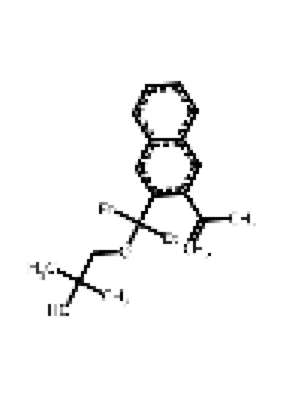 C=C(C)c1cc2ccccc2cc1C(CC)(CC)OCC(C)(C)O